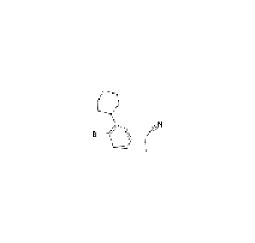 CC(C#N)c1ccc(Br)c(C2CCCCC2)c1